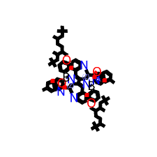 Cc1ccc2oc(/C(C#N)=c3/c4c(-c5cccc(OCC(CCC(C)C(C)(C)C)C(C)CC(C)(C)C)c5)n(B(c5ccccc5)c5ccccc5)/c(=C(/C#N)c5nc6cc(C)ccc6o5)c4c(-c4cccc(OCC(CCC(C)CC(C)(C)C)C(C)CC(C)(C)C)c4)n3B(c3ccccc3)c3ccccc3)nc2c1